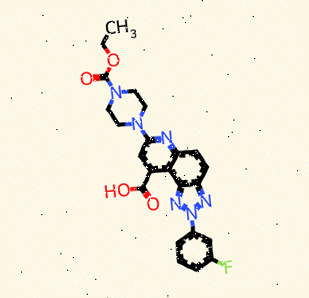 CCOC(=O)N1CCN(c2cc(C(=O)O)c3c(ccc4nn(-c5cccc(F)c5)nc43)n2)CC1